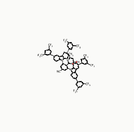 Cc1cc(C)nc(-c2c(-n3c4ccc(-c5cc(C(F)(F)F)cc(C(F)(F)F)c5)cc4c4cc(-c5cc(C(F)(F)F)cc(C(F)(F)F)c5)ccc43)cc(C#N)cc2-n2c3ccc(-c4cc(C(F)(F)F)cc(C(F)(F)F)c4)cc3c3cc(-c4cc(C(F)(F)F)cc(C(F)(F)F)c4)ccc32)n1